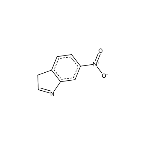 O=[N+]([O-])c1ccc2c(c1)N=CC2